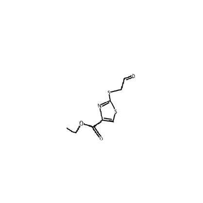 CCOC(=O)c1csc(SCC=O)n1